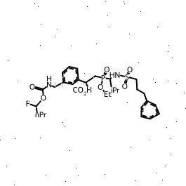 CCCC(F)OC(=O)NCc1cccc(C(CP(=O)(OCC)C(NS(=O)(=O)CCCc2ccccc2)C(C)C)C(=O)O)c1